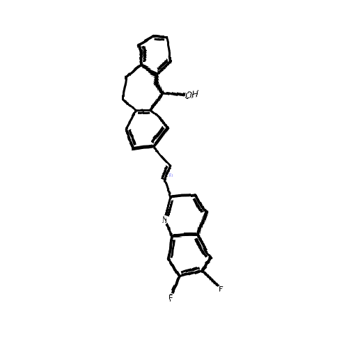 OC1c2ccccc2CCc2ccc(/C=C/c3ccc4cc(F)c(F)cc4n3)cc21